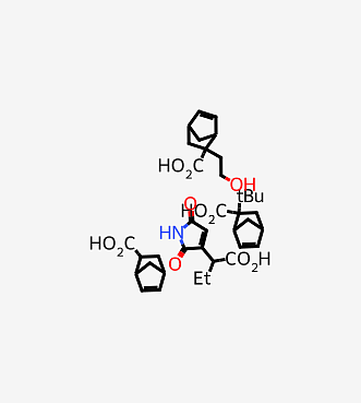 CC(C)(C)C1(C(=O)O)CC2C=CC1C2.CCC(C(=O)O)C1=CC(=O)NC1=O.O=C(O)C1(CCO)CC2C=CC1C2.O=C(O)C1CC2C=CC1C2